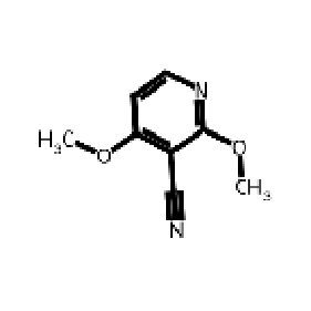 COc1ccnc(OC)c1C#N